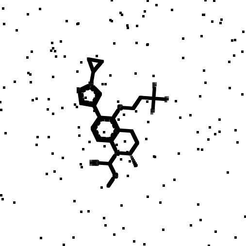 COC(O)N1c2ccc(-c3cnn(C4CC4)c3)c(OCCC(F)(F)F)c2CC[C@@H]1C